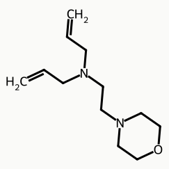 C=CCN(CC=C)CCN1CCOCC1